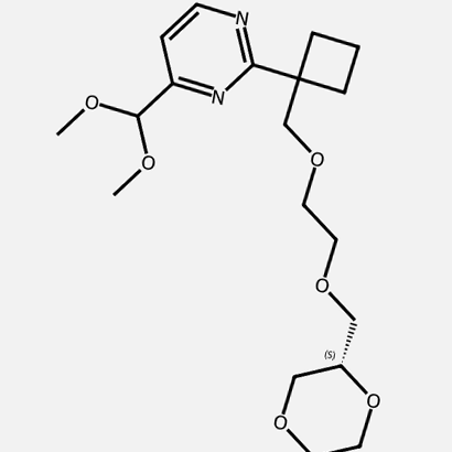 COC(OC)c1ccnc(C2(COCCOC[C@H]3COCCO3)CCC2)n1